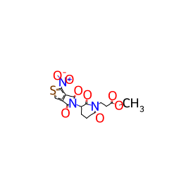 COC(=O)CCN1C(=O)CCC(N2C(=O)c3csc([N+](=O)[O-])c3C2=O)C1=O